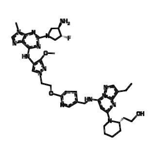 CCc1cnn2c(NCc3ccc(OCCn4cc(Nc5nc(N6C[C@@H](N)[C@H](F)C6)nc6c5ncn6C)c(OC)n4)nc3)cc(N3CCCC[C@H]3CCO)nc12